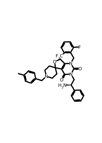 Cc1ccc(CN2CCC3(CC2)OCc2c3c(=O)n(C[C@H](N)c3ccccc3)c(=O)n2Cc2c(F)cccc2C(F)(F)F)cc1